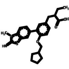 CCC(Cc1ccc(OCC2CCCC2)c(-c2ccc3c(c2)sc(=N)n3C)c1)C(=O)O